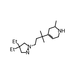 CCC1(CC)CN=[N+](CCC(C)(C)C2=CCNC(C)C2)C1